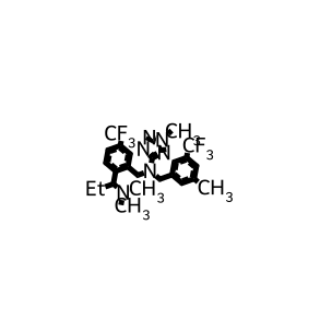 CCC(c1ccc(C(F)(F)F)cc1CN(Cc1cc(C)cc(C(F)(F)F)c1)c1nnn(C)n1)N(C)C